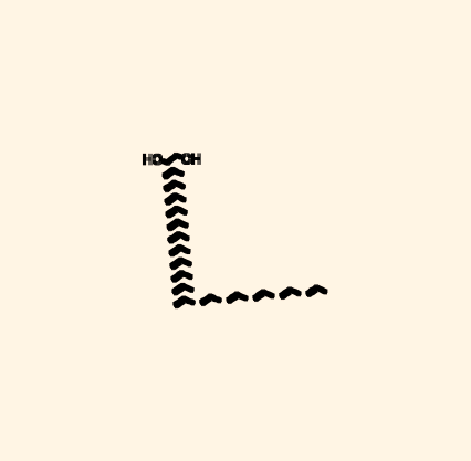 C=CC.C=CC.C=CC.C=CC.C=CC.C=CC.C=CC.C=CC.C=CC.C=CC.C=CC.C=CC.C=CC.C=CC.C=CC.C=CC.OCCO